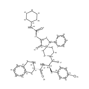 O=C(CN1CN(c2ccccc2)C2(CCN(C(=O)[C@@H](Cc3ccc(Cl)cc3)NC(=O)[C@@H]3Cc4ccccc4CN3)CC2)C1=O)NC1CCCCC1